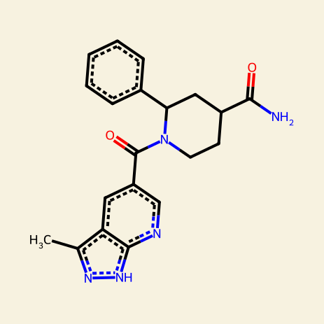 Cc1n[nH]c2ncc(C(=O)N3CCC(C(N)=O)CC3c3ccccc3)cc12